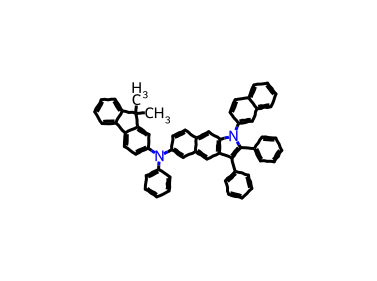 CC1(C)c2ccccc2-c2ccc(N(c3ccccc3)c3ccc4cc5c(cc4c3)c(-c3ccccc3)c(-c3ccccc3)n5-c3ccc4ccccc4c3)cc21